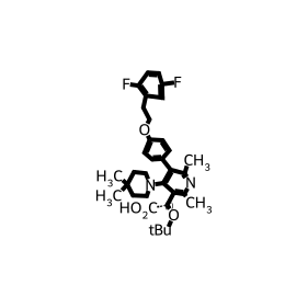 Cc1nc(C)c([C@H](OC(C)(C)C)C(=O)O)c(N2CCC(C)(C)CC2)c1-c1ccc(OCCc2cc(F)ccc2F)cc1